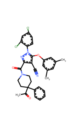 CC(=O)C1(c2ccccc2)CCN(C(=O)c2nn(-c3ccc(Cl)cc3Cl)c(Oc3cc(C)cc(C)c3)c2C#N)CC1